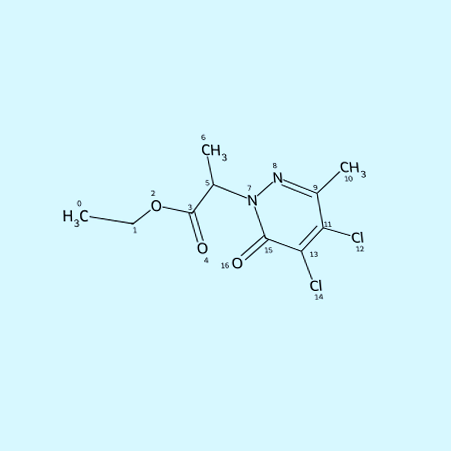 CCOC(=O)C(C)n1nc(C)c(Cl)c(Cl)c1=O